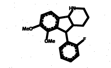 COc1ccc2c(c1OC)C(c1ccccc1F)C1CCCNC21